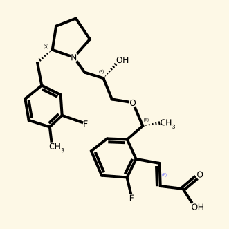 Cc1ccc(C[C@@H]2CCCN2C[C@H](O)CO[C@H](C)c2cccc(F)c2/C=C/C(=O)O)cc1F